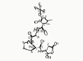 O=C1C[C@H](NC(=O)[C@@H]2CCCN2C(=O)CNC(=O)c2cccc(OC(F)(F)F)c2Cl)[C@H](O)O1